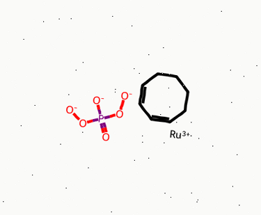 C1=CCCCCC=C1.O=P([O-])(O[O-])O[O-].[Ru+3]